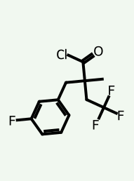 CC(Cc1cccc(F)c1)(CC(F)(F)F)C(=O)Cl